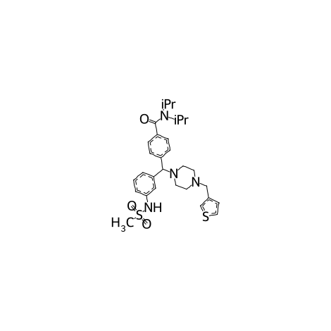 CC(C)N(C(=O)c1ccc(C(c2cccc(NS(C)(=O)=O)c2)N2CCN(Cc3ccsc3)CC2)cc1)C(C)C